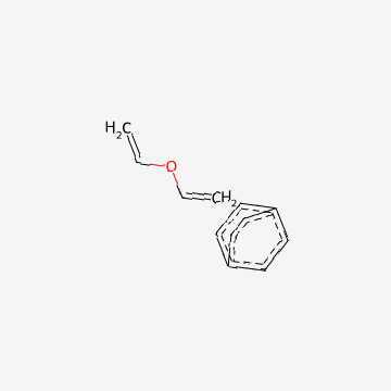 C=COC=C.c1cc2ccc1cc2